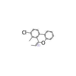 C/C=C1/Oc2ccccc2-c2ccc(Cl)c(C)c21